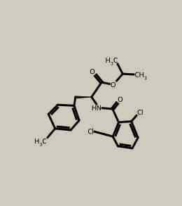 Cc1ccc(C[C@H](NC(=O)c2c(Cl)cccc2Cl)C(=O)OC(C)C)cc1